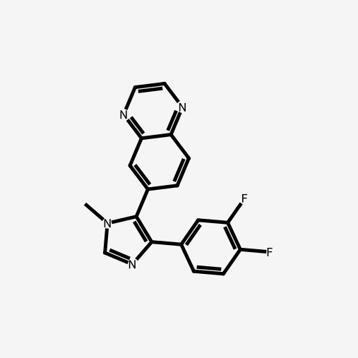 Cn1cnc(-c2ccc(F)c(F)c2)c1-c1ccc2nccnc2c1